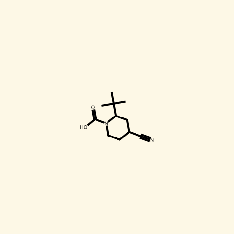 CC(C)(C)C1CC(C#N)CCN1C(=O)O